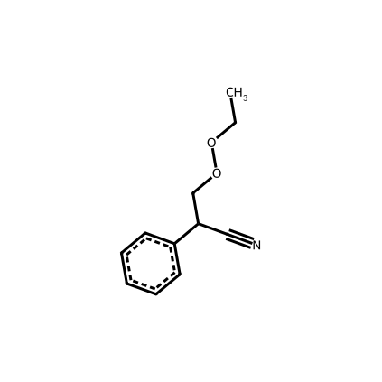 CCOOCC(C#N)c1ccccc1